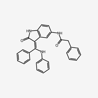 O=C(Cc1ccccc1)Nc1ccc2c(c1)C(=C(Nc1ccccc1)c1ccccc1)C(=O)N2